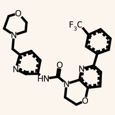 O=C(Nc1ccc(CN2CCOCC2)nc1)N1CCOc2ccc(-c3cccc(C(F)(F)F)c3)nc21